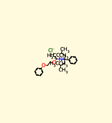 CC(C)CC(CC(C)C)(c1ccccc1)[N+](C)(C)C(C)OCCOc1ccccc1.[Cl-]